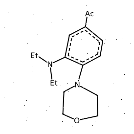 CCN(CC)c1cc(C(C)=O)ccc1N1CCOCC1